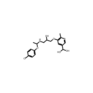 Cc1ncc(C(O)O)cc1OCC(O)CNC(C)Oc1ccc(Cl)cc1